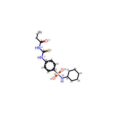 CC(C)CC(=O)NC(=S)Nc1ccc(S(=O)(=O)NC2CCCCC2)cc1